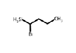 CCCC([SiH3])Br